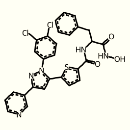 O=C(NC(Cc1ccccc1)C(=O)NO)c1ccc(-c2cc(-c3cccnc3)nn2-c2ccc(Cl)c(Cl)c2)s1